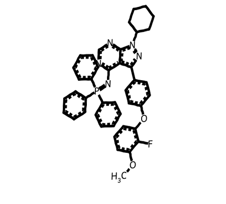 COc1cccc(Oc2ccc(-c3nn(C4CCCCC4)c4ncnc(N=P(c5ccccc5)(c5ccccc5)c5ccccc5)c34)cc2)c1F